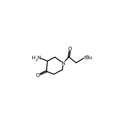 CC(C)(C)CC(=O)N1CCC(=O)C(N)C1